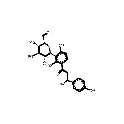 O=C(CC(O)c1ccc(O)cc1)c1ccc(O)c([C@@H]2O[C@H](CO)[C@@H](O)[C@H](O)[C@H]2O)c1O